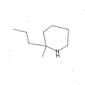 CCCC1(C)CCCCN1